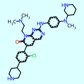 CN(C)CCn1c(=O)c(-c2ccc(C3CCNCC3)cc2Cl)cc2cnc(Nc3ccc(N(C)C4CCCNC4)cc3)nc21